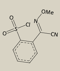 CON=C(C#N)c1ccccc1S(=O)(=O)Cl